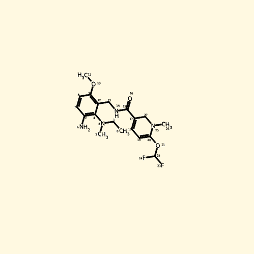 CCN(C)c1c(N)ccc(OC)c1CNC(=O)C1=CC=C(OC(F)F)N(C)C1